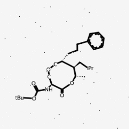 CC(C)C[C@@H]1[C@@H](CCCc2ccccc2)COC[C@H](NC(=O)OC(C)(C)C)C(=O)O[C@H]1C